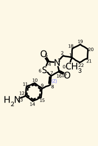 CC1(CN2C(=O)S/C(=C\c3ccc(N)cc3)C2=O)CCCCC1